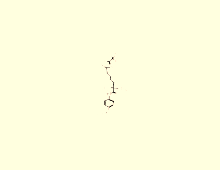 COc1ccc(NC(=O)C(C)(C)CCCCc2noc(C(F)(F)F)n2)cc1